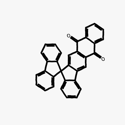 O=C1c2ccccc2C(=O)c2cc3c(cc21)-c1ccccc1C31c2ccccc2-c2ccccc21